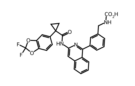 O=C(O)NCc1cccc(-c2nc(NC(=O)C3(c4ccc5c(c4)OC(F)(F)O5)CC3)cc3ccccc23)c1